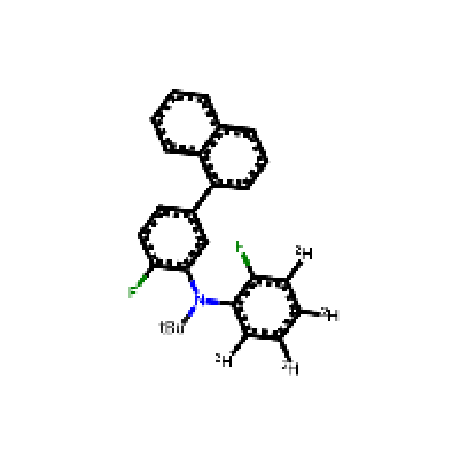 [2H]c1c([2H])c([2H])c(N(c2cc(-c3cccc4ccccc34)ccc2F)C(C)(C)C)c(F)c1[2H]